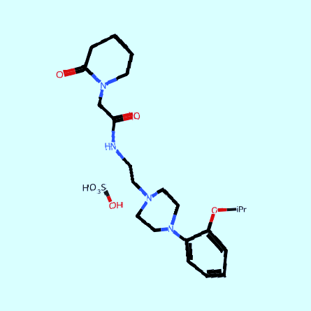 CC(C)Oc1ccccc1N1CCN(CCNC(=O)CN2CCCCC2=O)CC1.O=S(=O)(O)O